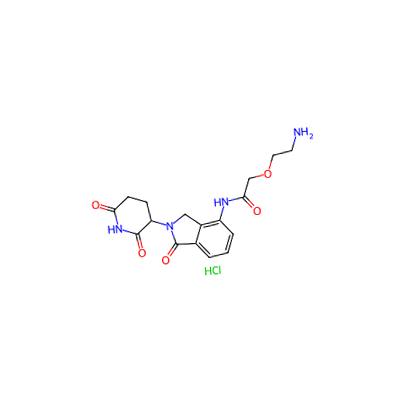 Cl.NCCOCC(=O)Nc1cccc2c1CN(C1CCC(=O)NC1=O)C2=O